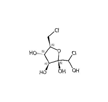 OC(Cl)[C@@]1(O)O[C@H](CCl)[C@@H](O)[C@@H]1O